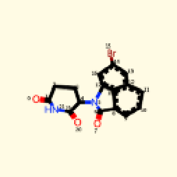 O=C1CCC(N2C(=O)c3cccc4cc(Br)cc2c34)C(=O)N1